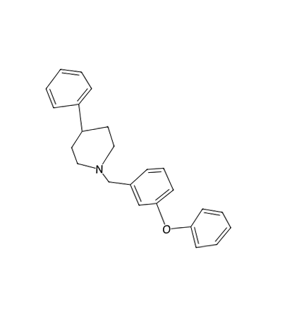 c1ccc(Oc2cccc(CN3CCC(c4ccccc4)CC3)c2)cc1